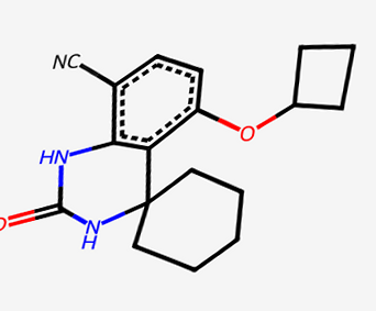 N#Cc1ccc(OC2CCC2)c2c1NC(=O)NC21CCCCC1